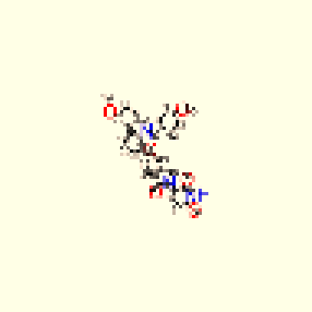 COC1CCC(CN(CC2CCC(OC)CC2)[C@@H]2CCCC[C@H]2Oc2ccc3c(c2)CN(C2CCC(=O)NC2=O)C3=O)CC1